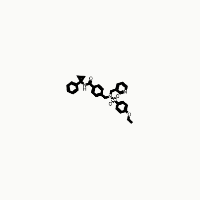 CCOc1ccc(S(=O)(=O)N(Cc2ccc(C(=O)NC3(c4ccccc4)CC3)cc2)Cc2cccnc2)cc1